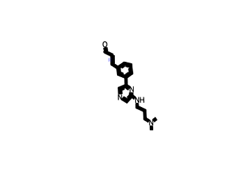 CN(C)CCCNc1cncc(-c2cccc(/C=C/[C]=O)c2)n1